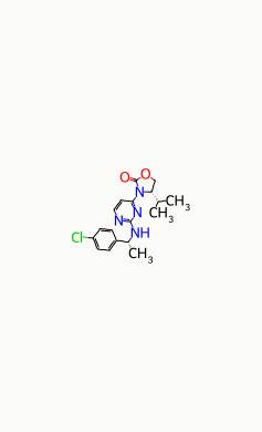 CC(C)[C@H]1COC(=O)N1c1ccnc(N[C@H](C)c2ccc(Cl)cc2)n1